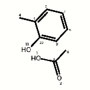 CC(=O)O.Cc1ccccc1O